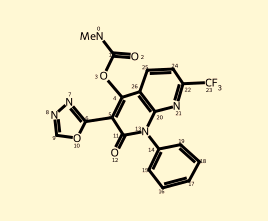 CNC(=O)Oc1c(-c2nnco2)c(=O)n(-c2ccccc2)c2nc(C(F)(F)F)ccc12